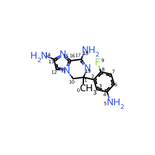 CC1(c2cc(N)ccc2F)Cn2cc(N)nc2C(N)=N1